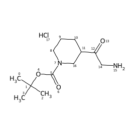 CC(C)(C)OC(=O)N1CCCC(C(=O)CN)C1.Cl